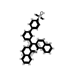 CP(C)(=O)C1=C=C=C(c2cccc(-c3c4ccc5ccccc5c4nc4c3ccc3ccccc34)c2)C=C1